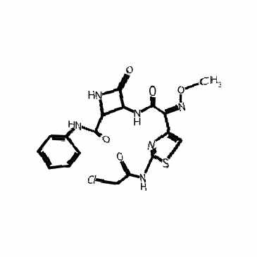 CO/N=C(\C(=O)NC1C(=O)NC1C(=O)Nc1ccccc1)c1csc(NC(=O)CCl)n1